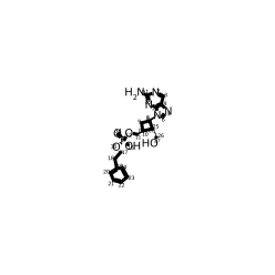 Nc1ncc2ncn([C@@H]3C[C@H](COP(=O)(O)OCCc4ccccc4)[C@H]3CO)c2n1